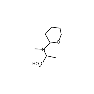 CC(C(=O)O)N(C)C1CCCCO1